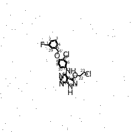 Fc1cccc(COc2ccc(Nc3ncnc4[nH]nc(OCCCl)c34)cc2Cl)c1